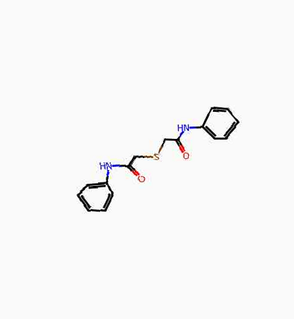 O=C(CSCC(=O)Nc1ccccc1)Nc1ccccc1